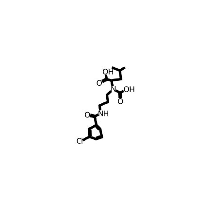 CC(C)CC(C(=O)O)N(CCCNC(=O)c1cccc(Cl)c1)C(=O)O